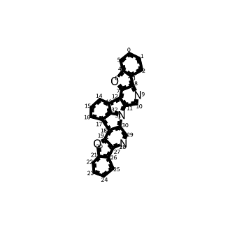 c1ccc2c(c1)oc1c2ncc2c1c1cccc3c4c5oc6ccccc6c5ncc4n2c13